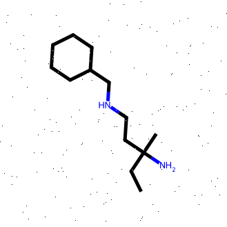 CCC(C)(N)CCNCC1CCCCC1